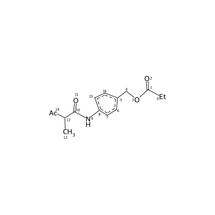 CCC(=O)OCc1ccc(NC(=O)C(C)C(C)=O)cc1